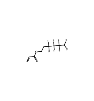 C=CC(=O)OCCC(F)(F)C(F)(F)C(F)(F)C(F)F